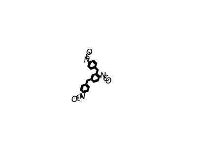 O=C=Nc1ccc(Cc2ccc(N=C=O)c(Cc3ccc(N=C=O)cc3)c2)cc1